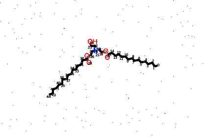 CCCCCCCCCCCCCCCC(=O)OCC[N+](C)(CCO)CCOC(=O)CCCCCCCCCCCCCCC